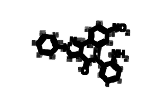 Nc1ccccc1NC(=O)c1cn(-c2ccccc2)nc1-c1ccc([N+](=O)[O-])cc1